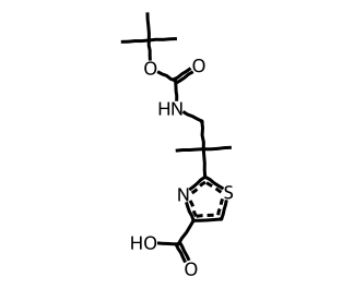 CC(C)(C)OC(=O)NCC(C)(C)c1nc(C(=O)O)cs1